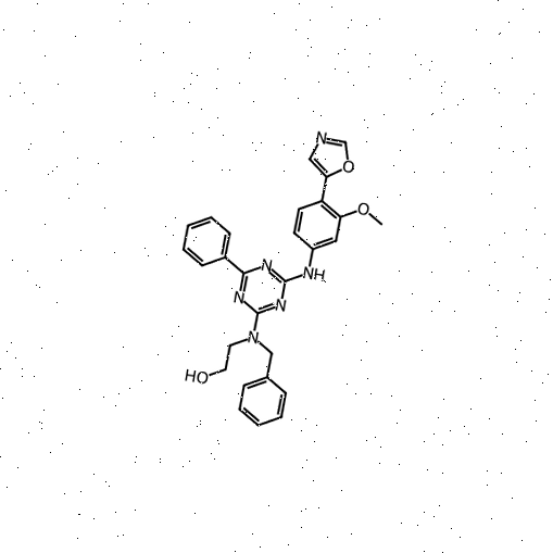 COc1cc(Nc2nc(-c3ccccc3)nc(N(CCO)Cc3ccccc3)n2)ccc1-c1cnco1